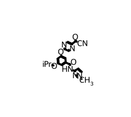 CC(C)Oc1cc(Oc2cnc(C(=O)C#N)cn2)cc(C(=O)Nc2ccn(C)n2)c1